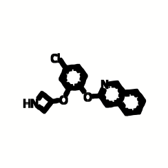 Clc1ccc(Oc2cc3ccccc3cn2)c(OC2CNC2)c1